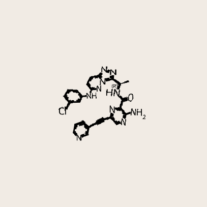 C[C@@H](NC(=O)c1nc(C#Cc2cccnc2)cnc1N)c1nnc2ccc(Nc3cccc(Cl)c3)nn12